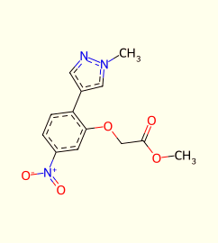 COC(=O)COc1cc([N+](=O)[O-])ccc1-c1cnn(C)c1